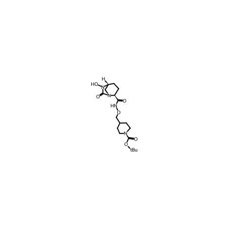 CC(C)(C)OC(=O)N1CCC(CONC(=O)[C@@H]2CC[C@@H]3CN2C(=O)N3O)CC1